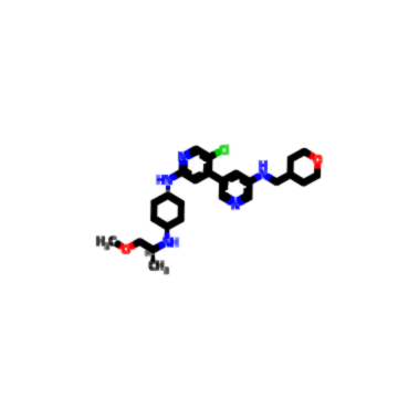 COC[C@@H](C)N[C@H]1CC[C@H](Nc2cc(-c3cncc(NCC4CCOCC4)c3)c(Cl)cn2)CC1